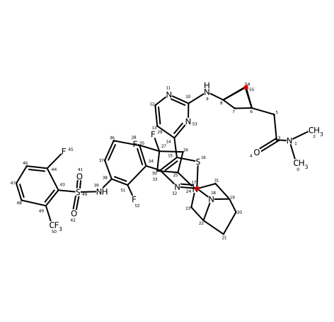 CN(C)C(=O)CC12CC(Nc3nccc(-c4sc(N5C6CCC5CN(C5CC(F)(F)C5)C6)nc4-c4cccc(NS(=O)(=O)c5c(F)cccc5C(F)(F)F)c4F)n3)(C1)C2